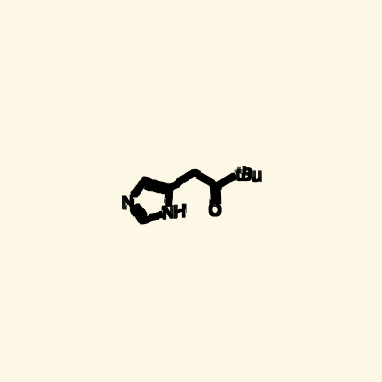 CC(C)(C)C(=O)Cc1cnc[nH]1